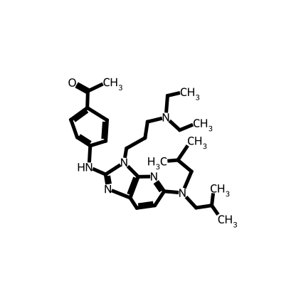 CCN(CC)CCCn1c(Nc2ccc(C(C)=O)cc2)nc2ccc(N(CC(C)C)CC(C)C)nc21